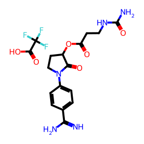 N=C(N)c1ccc(N2CCC(OC(=O)CCNC(N)=O)C2=O)cc1.O=C(O)C(F)(F)F